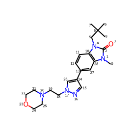 Cn1c(=O)n(CC(C)(C)C)c2ccc(-c3cnn(CCN4CCOCC4)c3)cc21